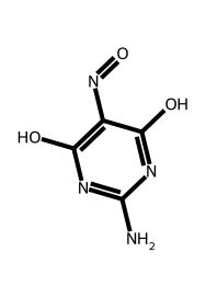 Nc1nc(O)c(N=O)c(O)n1